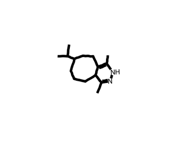 CC1=NNC(C)=C2CCC(C(C)C)CCCC12